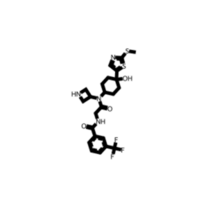 CSc1ncc(C2(O)CCC(N(C(=O)CNC(=O)c3cccc(C(F)(F)F)c3)C3CNC3)CC2)s1